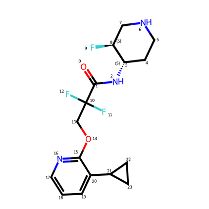 O=C(N[C@H]1CCNC[C@@H]1F)C(F)(F)COc1ncccc1C1CC1